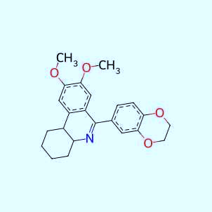 COc1cc2c(cc1OC)C1CCCCC1N=C2c1ccc2c(c1)OCCO2